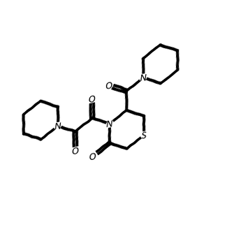 O=C(C(=O)N1C(=O)CSCC1C(=O)N1CCCCC1)N1CCCCC1